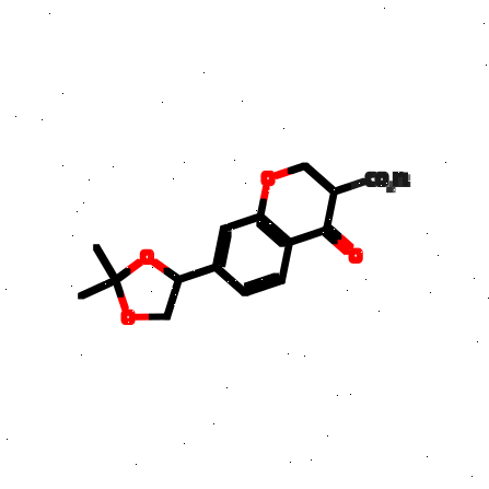 CCOC(=O)C1COc2cc(C3COC(C)(C)O3)ccc2C1=O